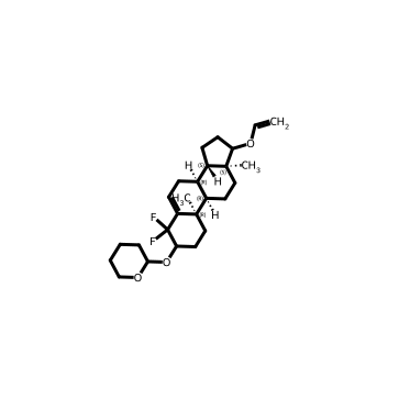 C=COC1CC[C@H]2[C@@H]3CC=C4C(F)(F)C(OC5CCCCO5)CC[C@]4(C)[C@@H]3CC[C@]12C